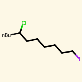 CCCCC(Cl)CCCCCCI